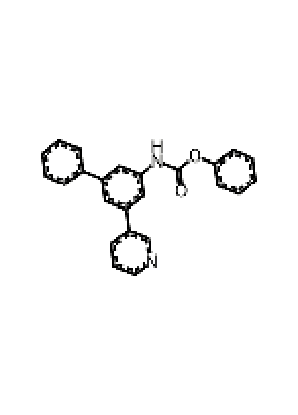 O=C(Nc1cc(-c2ccccc2)cc(-c2cccnc2)c1)Oc1ccccc1